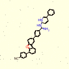 N#Cc1ccc(-c2cccc3c2oc2ccc(-c4ccc(C(N)NC5C=CC(c6ccccc6)=CN5)cc4)cc23)cc1